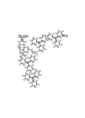 C=Cc1cc2c(c(C(F)(F)F)c1)COC1CN(C(=O)O)CC21.[Pd].c1ccc(P(c2ccccc2)c2ccccc2)cc1.c1ccc(P(c2ccccc2)c2ccccc2)cc1.c1ccc(P(c2ccccc2)c2ccccc2)cc1.c1ccc(P(c2ccccc2)c2ccccc2)cc1